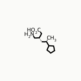 C[C@@H](C[C@H](CN)CC(=O)O)C1CCCC1